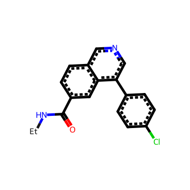 CCNC(=O)c1ccc2cncc(-c3ccc(Cl)cc3)c2c1